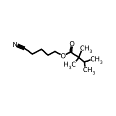 CC(C)C(C)(C)C(=O)OCCCCC#N